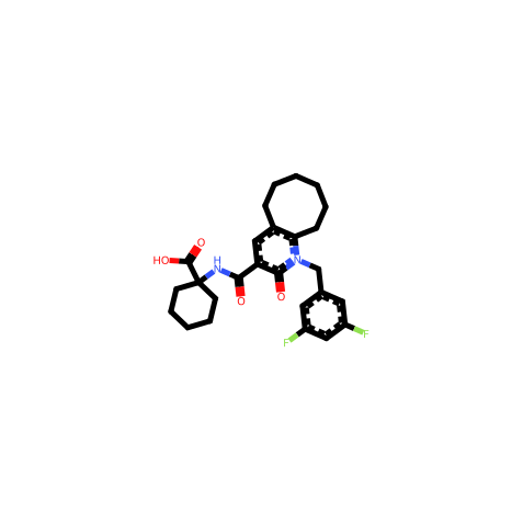 O=C(NC1(C(=O)O)CCCCC1)c1cc2c(n(Cc3cc(F)cc(F)c3)c1=O)CCCCCC2